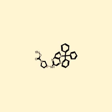 CC(C)(C)OC(=O)N1CC[C@@H](Nc2cnc3c(ccn3C(c3ccccc3)(c3ccccc3)c3ccccc3)n2)C1